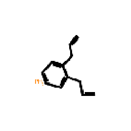 C=CCc1ccccc1CC=C.P